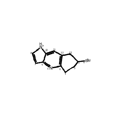 CC(C)(C)C1CCc2nc3cc[nH]c3cc2C1